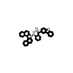 N/C(=C1/C=CC=CC1NN1C2=CC=C3C=CC=CC3C2c2c1ccc1ccccc21)c1ccc2oc3ccccc3c2c1